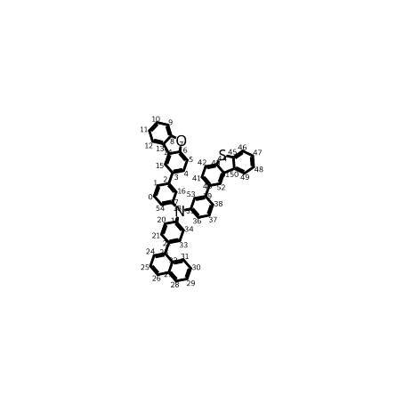 c1cc(-c2ccc3oc4ccccc4c3c2)cc(N(c2ccc(-c3cccc4ccccc34)cc2)c2cccc(-c3ccc4sc5ccccc5c4c3)c2)c1